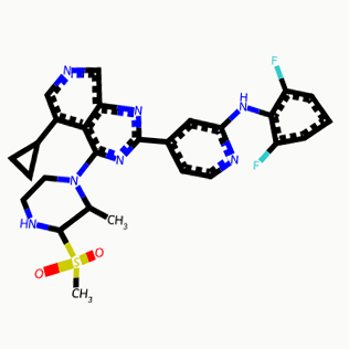 CC1C(S(C)(=O)=O)NCCN1c1nc(-c2ccnc(Nc3c(F)cccc3F)c2)nc2cncc(C3CC3)c12